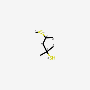 CSC(C)CC(C)(C)S